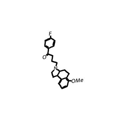 COc1cccc2c1CCC1C2CCN1CCCC(=O)c1ccc(F)cc1